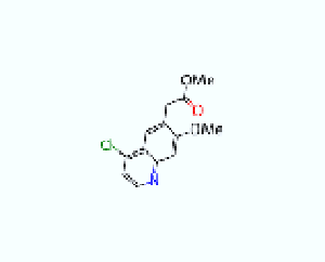 COC(=O)Cc1cc2c(Cl)ccnc2cc1OC